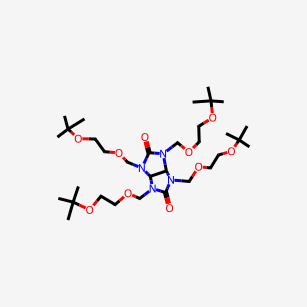 CC(C)(C)OCCOCN1C(=O)N(COCCOC(C)(C)C)C2C1N(COCCOC(C)(C)C)C(=O)N2COCCOC(C)(C)C